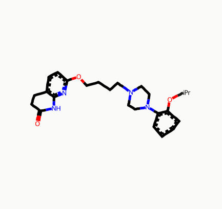 CC(C)Oc1ccccc1N1CCN(CCCCOc2ccc3c(n2)NC(=O)CC3)CC1